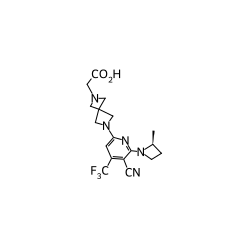 C[C@H]1CCN1c1nc(N2CC3(CN(CC(=O)O)C3)C2)cc(C(F)(F)F)c1C#N